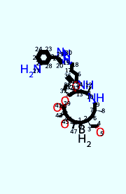 B[C@H]1[C@@H](CC=O)C[C@@H](C)CN[C@H](C)[C@@H](NCCCCn2cc(-c3cccc(N)c3)nn2)[C@](C)(OC#C)[C@@H](CC)OC(=O)[C@H](C)C(=O)[C@@H]1C